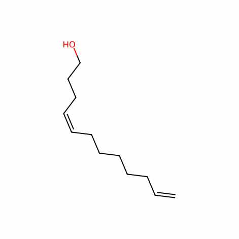 C=CCCCCC/C=C\CCCO